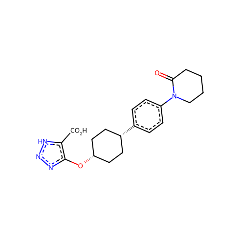 O=C(O)c1[nH]nnc1O[C@H]1CC[C@@H](c2ccc(N3CCCCC3=O)cc2)CC1